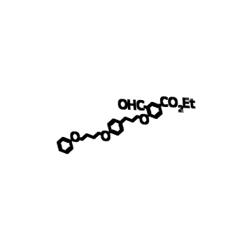 CCOC(=O)c1ccc(OCCCc2ccc(OCCCCOc3ccccc3)cc2)c(C=O)c1